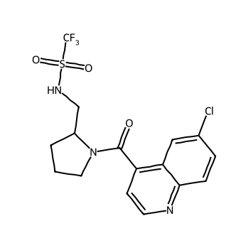 O=C(c1ccnc2ccc(Cl)cc12)N1CCCC1CNS(=O)(=O)C(F)(F)F